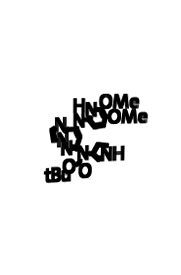 COc1ccc(Nc2cc(N(C(=O)OC(C)(C)C)C3CCNC3)nn3ccnc23)nc1OC